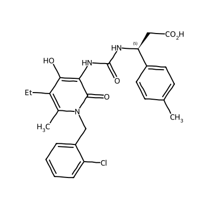 CCc1c(O)c(NC(=O)N[C@@H](CC(=O)O)c2ccc(C)cc2)c(=O)n(Cc2ccccc2Cl)c1C